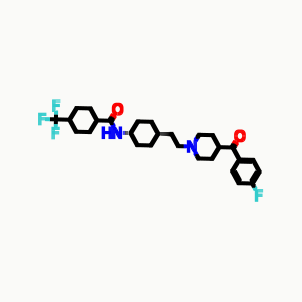 O=C(N[C@H]1CC[C@H](CCN2CCC(C(=O)c3ccc(F)cc3)CC2)CC1)C1CCC(C(F)(F)F)CC1